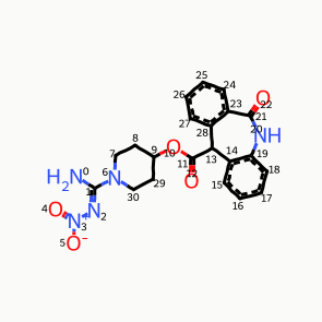 NC(=N[N+](=O)[O-])N1CCC(OC(=O)C2c3ccccc3NC(=O)c3ccccc32)CC1